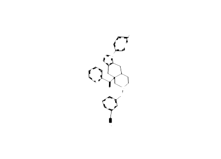 N#Cc1cccc(SN2CCC3Cc4c(cnn4-c4ccc(F)cc4)CC3(C(=O)c3ccccn3)C2)c1